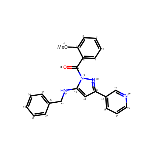 COc1ccccc1C(=O)n1nc(-c2cccnc2)cc1NCc1ccccc1